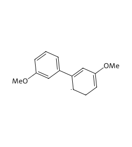 COC1=CC[CH]C(c2cccc(OC)c2)=C1